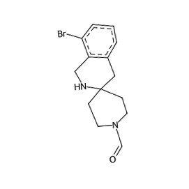 O=CN1CCC2(CC1)Cc1cccc(Br)c1CN2